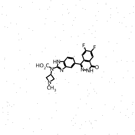 CN1CC(N(C(=O)O)c2nc3cc(-c4n[nH]c(=O)c5cc(F)c(F)cc45)ccc3[nH]2)C1